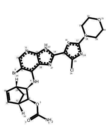 NC(=O)O[C@@H]1[C@H](Nc2c(Br)cnc3[nH]c(-c4sc(N5CCOCC5)nc4Cl)nc23)[C@H]2C=C[C@@H]1C2